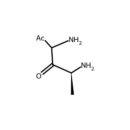 CC(=O)C(N)C(=O)[C@H](C)N